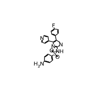 Nc1ccc(S(=O)(=O)Nc2ncc(-c3ccc(F)cc3)c(-c3ccncc3)n2)cc1